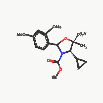 COc1ccc(C2O[C@](C)(C(=O)O)[C@H](C3CC3)N2C(=O)OC(C)(C)C)c(OC)c1